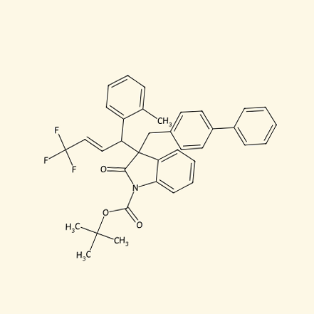 Cc1ccccc1C(/C=C/C(F)(F)F)C1(Cc2ccc(-c3ccccc3)cc2)C(=O)N(C(=O)OC(C)(C)C)c2ccccc21